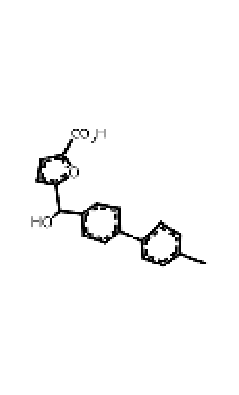 Cc1ccc(-c2ccc(C(O)c3ccc(C(=O)O)o3)cc2)cc1